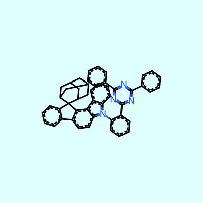 c1ccc(-c2nc(-c3ccccc3)nc(-c3ccccc3-n3c4ccccc4c4c5c(ccc43)-c3ccccc3C53C4CC5CC(C4)CC3C5)n2)cc1